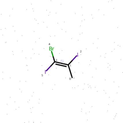 [CH2]/C(I)=C(/Br)I